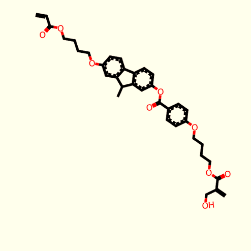 C=CC(=O)OCCCCOc1ccc2c(c1)C(C)c1cc(OC(=O)c3ccc(OCCCCOC(=O)C(=C)CO)cc3)ccc1-2